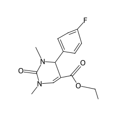 CCOC(=O)C1=CN(C)C(=O)N(C)C1c1ccc(F)cc1